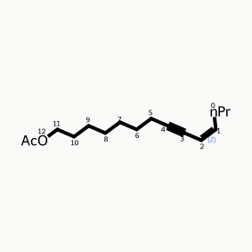 CCC/C=C\C#CCCCCCCCOC(C)=O